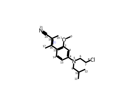 COc1cc(N(CCCl)CC(C)C)ccc1/C(C)=C(\C)C#N